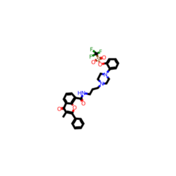 Cc1c(-c2ccccc2)oc2c(C(=O)NCCCN3CCN(c4ccccc4OS(=O)(=O)C(F)(F)F)CC3)cccc2c1=O